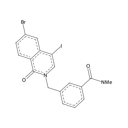 CNC(=O)c1cccc(Cn2cc(I)c3cc(Br)ccc3c2=O)c1